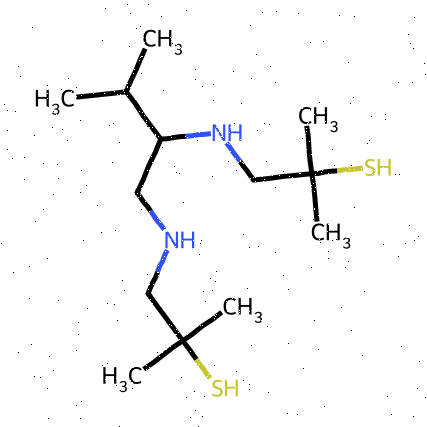 CC(C)C(CNCC(C)(C)S)NCC(C)(C)S